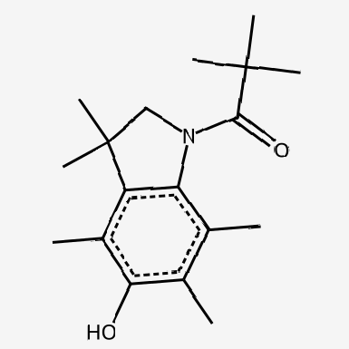 Cc1c(C)c2c(c(C)c1O)C(C)(C)CN2C(=O)C(C)(C)C